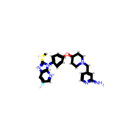 CSc1nc2cc(F)cnc2n1-c1ccc(OC2CCN(Cc3ccnc(N)c3)CC2)cc1